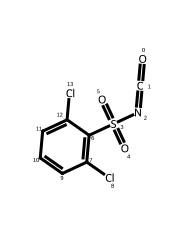 O=C=NS(=O)(=O)c1c(Cl)cccc1Cl